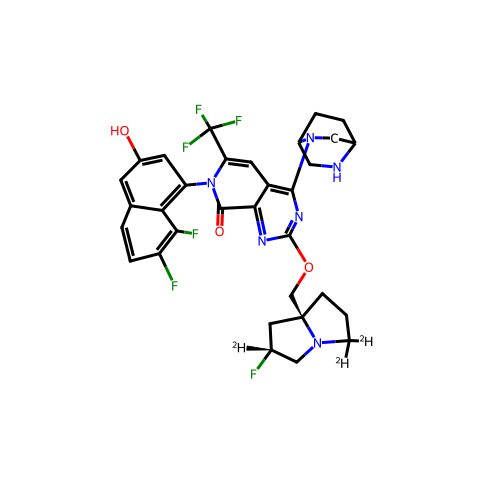 [2H]C1([2H])CC[C@@]2(COc3nc(N4CC5CCC4CN5)c4cc(C(F)(F)F)n(-c5cc(O)cc6ccc(F)c(F)c56)c(=O)c4n3)C[C@@]([2H])(F)CN12